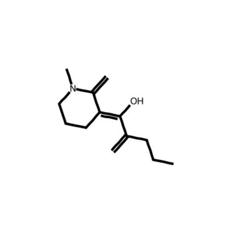 C=C(CCC)/C(O)=C1\CCCN(C)C1=C